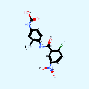 Cc1cc(NC(=O)O)ccc1NC(=O)c1cc([N+](=O)[O-])ccc1Cl